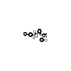 Cc1cc(Oc2ccccc2NC(=O)Nc2ccc(C3CCCC3)cc2)n(-c2ccccc2Cl)n1